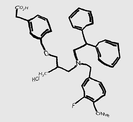 COc1ccc(CN(CC(C)COc2cccc(CC(=O)O)c2)CC(c2ccccc2)c2ccccc2)cc1F.Cl